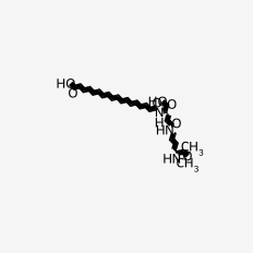 CN[C@@H](CCCCNC(=O)CC[C@H](NC(=O)CCCCCCCCCCCCCCCCC(=O)O)C(=O)O)C(C)=O